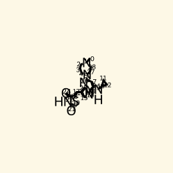 CN1CCCN(c2cc(NC3CC3)n3ncc(/C=C4\SC(=O)NC4=O)c3n2)CC1